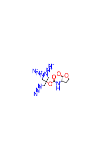 [N-]=[N+]=NCC(CN=[N+]=[N-])(CN=[N+]=[N-])OC(=O)NC1CCOC1=O